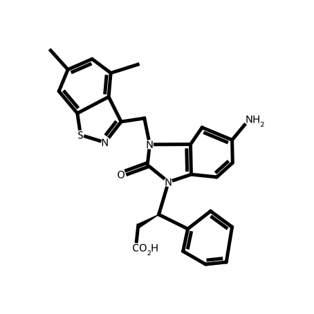 Cc1cc(C)c2c(Cn3c(=O)n([C@H](CC(=O)O)c4ccccc4)c4ccc(N)cc43)nsc2c1